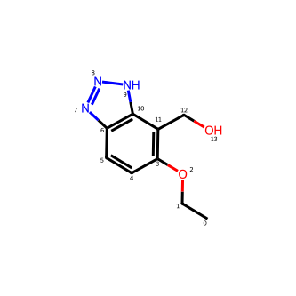 CCOc1ccc2nn[nH]c2c1CO